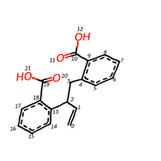 C=CC(Cc1ccccc1C(=O)O)c1ccccc1C(=O)O